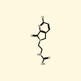 O=C(O)NCCN1Cc2ccc(Cl)nc2C1=O